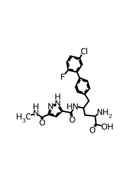 CNC(=O)c1cc(C(=O)NC(Cc2ccc(-c3cc(Cl)ccc3F)cc2)CC(N)C(=O)O)[nH]n1